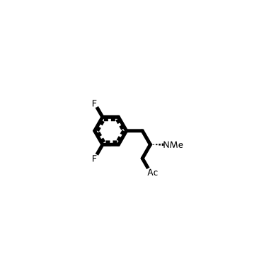 CN[C@H](CC(C)=O)Cc1cc(F)cc(F)c1